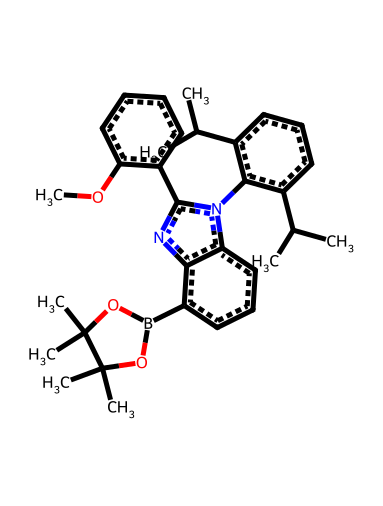 COc1ccccc1-c1nc2c(B3OC(C)(C)C(C)(C)O3)cccc2n1-c1c(C(C)C)cccc1C(C)C